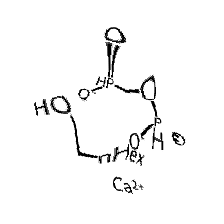 CCCCCCCO.O=[PH]([O-])O[PH](=O)[O-].[Ca+2]